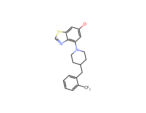 [O]c1cc(N2CCC(Cc3ccccc3C(F)(F)F)CC2)c2ncsc2c1